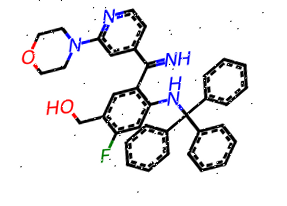 N=C(c1ccnc(N2CCOCC2)c1)c1cc(CO)c(F)cc1NC(c1ccccc1)(c1ccccc1)c1ccccc1